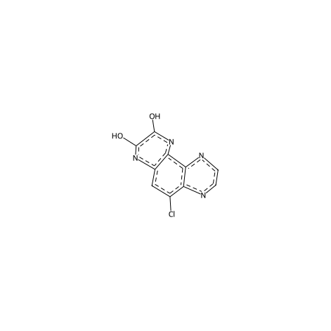 Oc1nc2cc(Cl)c3nccnc3c2nc1O